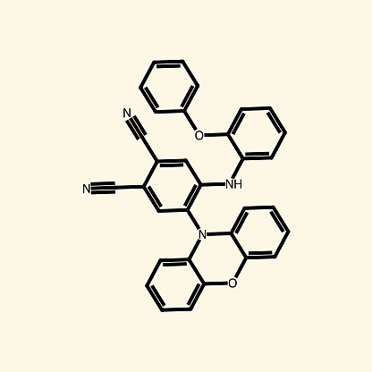 N#Cc1cc(Nc2ccccc2Oc2ccccc2)c(N2c3ccccc3Oc3ccccc32)cc1C#N